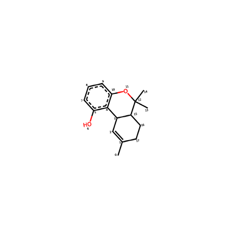 CC1=CC2c3c(O)cccc3OC(C)(C)C2CC1